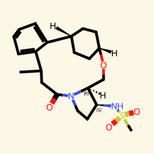 CC1CC(=O)N2CC[C@H](NS(C)(=O)=O)[C@@H]2CO[C@H]2CC[C@H](CC2)c2ccccc21